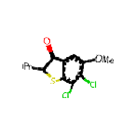 COc1cc2c(c(Cl)c1Cl)SC(C(C)C)C2=O